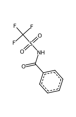 O=C(NS(=O)(=O)C(F)(F)F)c1ccccc1